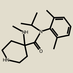 CNC1(C(=O)N(c2c(C)cccc2C)C(C)C)CCNCC1